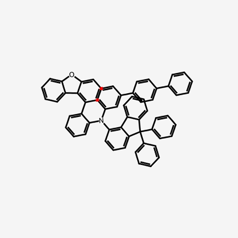 c1ccc(-c2ccc(-c3cccc(N(c4ccccc4-c4cccc5oc6ccccc6c45)c4cccc5c4-c4ccccc4C5(c4ccccc4)c4ccccc4)c3)cc2)cc1